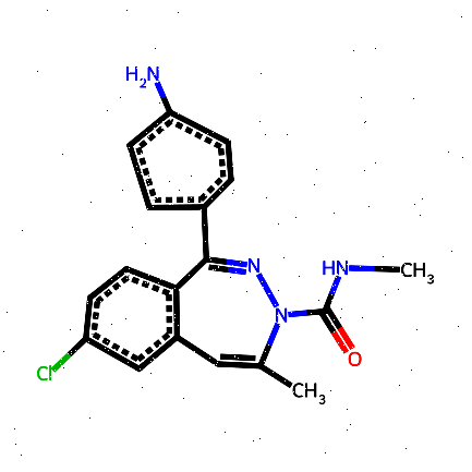 CNC(=O)N1N=C(c2ccc(N)cc2)c2ccc(Cl)cc2C=C1C